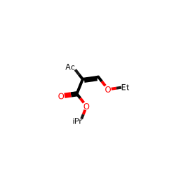 CCOC=C(C(C)=O)C(=O)OC(C)C